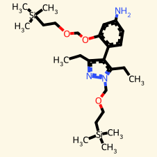 CCc1nn(COCC[Si](C)(C)C)c(CC)c1-c1ccc(N)cc1OCOCC[Si](C)(C)C